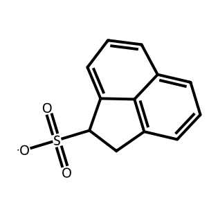 [O]S(=O)(=O)C1Cc2cccc3cccc1c23